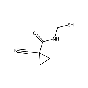 N#CC1(C(=O)NCS)CC1